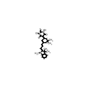 CCN1C(=O)C(=C2C=C(C=CC=C3N(C)c4ccccc4C3(C)C)CC(C)(C)C2)C(=O)N(CC)C1=S